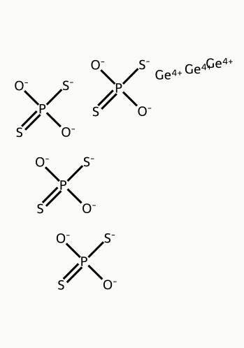 [Ge+4].[Ge+4].[Ge+4].[O-]P([O-])(=S)[S-].[O-]P([O-])(=S)[S-].[O-]P([O-])(=S)[S-].[O-]P([O-])(=S)[S-]